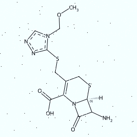 COCn1cnnc1SCC1=C(C(=O)O)N2C(=O)C(N)[C@@H]2SC1